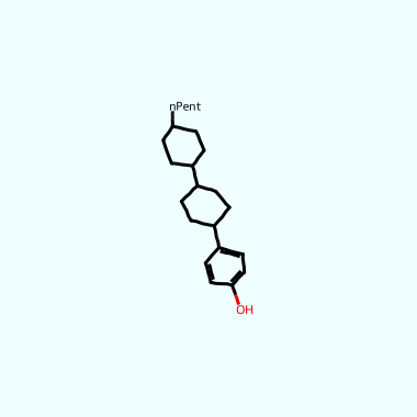 CCCCCC1CCC(C2CCC(c3ccc(O)cc3)CC2)CC1